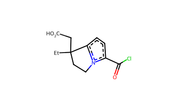 CCC1(CC(=O)O)CCn2c(C(=O)Cl)ccc21